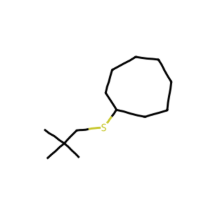 CC(C)(C)CSC1CCCCCCC1